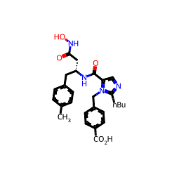 CCCCc1ncc(C(=O)N[C@@H](CC(=O)NO)Cc2ccc(C)cc2)n1Cc1ccc(C(=O)O)cc1